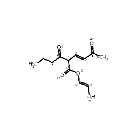 CCCC(=O)C(C=CC(C)=O)C(=O)OC=CO